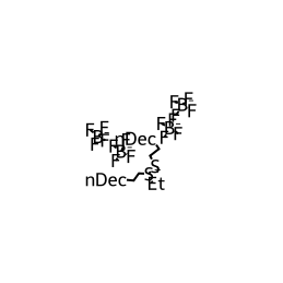 CCCCCCCCCCCCS[S+](CC)CCCCCCCCCCCC.F[B-](F)(F)F.F[B-](F)(F)F.F[B-](F)(F)F.F[B-](F)(F)F